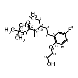 CC[C@@H](CCc1cc(F)ccc1OCCO)NC(=O)OC(C)(C)C